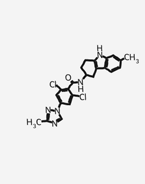 Cc1ccc2c3c([nH]c2c1)CCC(NC(=O)c1c(Cl)cc(-n2cnc(C)n2)cc1Cl)C3